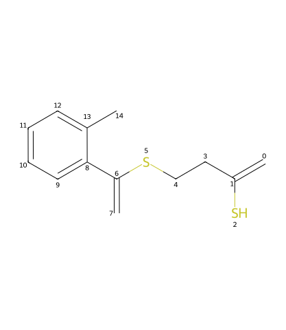 C=C(S)CCSC(=C)c1ccccc1C